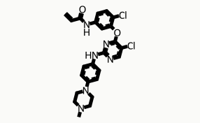 C=CC(=O)Nc1ccc(Cl)c(Oc2nc(Nc3ccc(N4CCN(C)CC4)cc3)ncc2Cl)c1